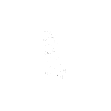 CC(C)(C)C1CCC(C(=O)Oc2ccc(Br)cc2)CC1